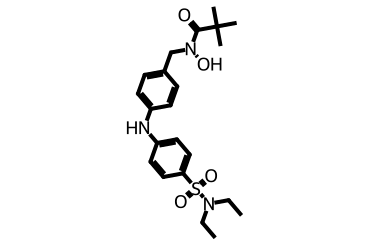 CCN(CC)S(=O)(=O)c1ccc(Nc2ccc(CN(O)C(=O)C(C)(C)C)cc2)cc1